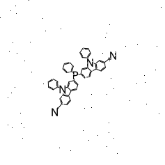 N#Cc1ccc2c3ccc(P(c4ccccc4)c4ccc5c6ccc(C#N)cc6n(-c6ccccc6)c5c4)cc3n(-c3ccccc3)c2c1